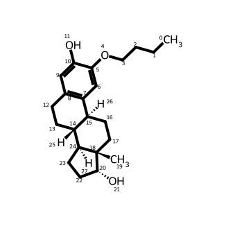 CCCCOc1cc2c(cc1O)CC[C@@H]1[C@@H]2CC[C@]2(C)[C@H](O)CC[C@@H]12